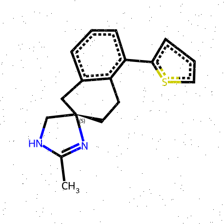 CC1=N[C@]2(CCc3c(cccc3-c3cccs3)C2)CN1